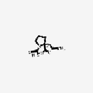 C=CC[C@]1(C(=O)O)CCCN1C(C)=O